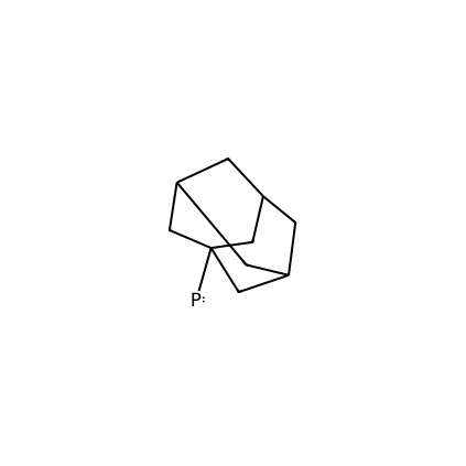 [P]C12CC3CC(CC(C3)C1)C2